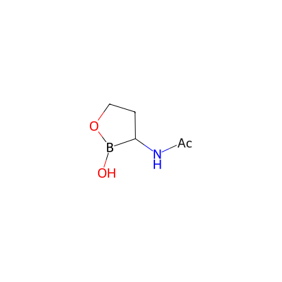 CC(=O)NC1CCOB1O